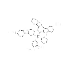 CC(C)(C)c1ccc(N2B3c4cc(C(C)(C)C)ccc4-n4c5ccc(C(C)(C)C)cc5c5c6oc7ccccc7c6c(c3c54)-c3cc4sc5cc(C(C)(C)C)ccc5c4cc32)cc1